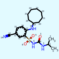 CC(C)NC(=O)NS(=O)(=O)c1cc(C#N)ccc1NC1CCCCCCC1